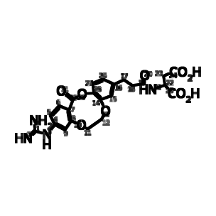 N=C(N)Nc1ccc2c(c1)OCCOc1cc(CCC(=O)NC(CC(=O)O)C(=O)O)ccc1OC2=O